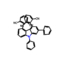 N#Cc1cccc(C#N)c1-c1cccc2c1c1c(-c3c(C#N)cccc3C#N)cc(-c3ccccc3)cc1n2-c1ccccc1